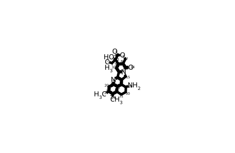 CCC1(O)C(=O)OCc2c1cc1n(c2=O)Cc2c-1nc1cc(C)c(C)c3c1c2C(N)CC3